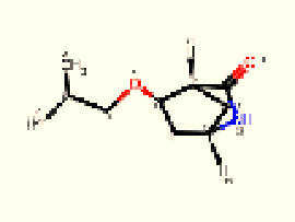 CC(C)[C@@H](C)CO[C@@H]1C[C@@H]2C[C@H]1C(=O)N2